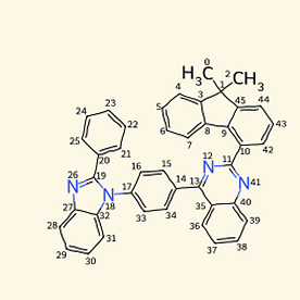 CC1(C)c2ccccc2-c2c(-c3nc(-c4ccc(-n5c(-c6ccccc6)nc6ccccc65)cc4)c4ccccc4n3)cccc21